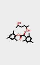 CC(O)CCC(C)O.Cc1cc(C)c(OC(=O)C(=O)c2c(C)cc(C)cc2C)c(C)c1